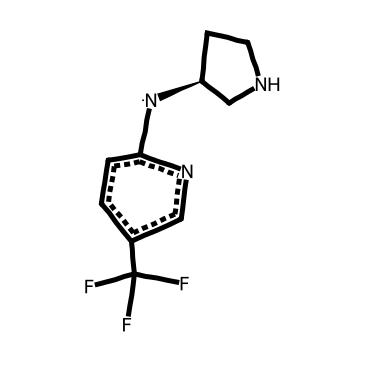 FC(F)(F)c1ccc([N][C@H]2CCNC2)nc1